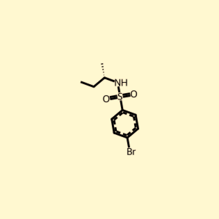 CC[C@H](C)NS(=O)(=O)c1ccc(Br)cc1